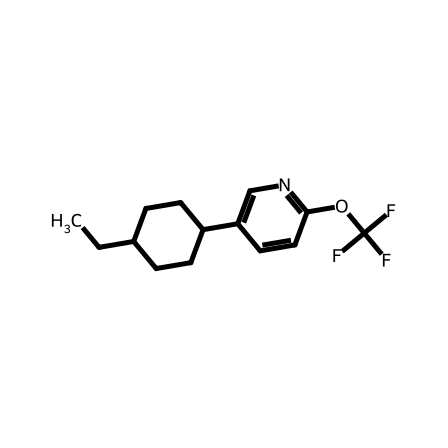 CCC1CCC(c2ccc(OC(F)(F)F)nc2)CC1